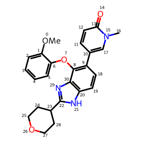 COc1ccccc1Oc1c(-c2ccc(=O)n(C)c2)ccc2[nH]c(C3CCOCC3)nc12